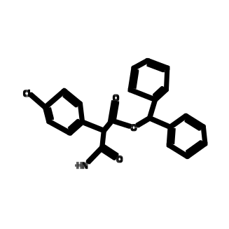 [NH]C(=O)C(C(=O)OC(c1ccccc1)c1ccccc1)c1ccc(Cl)cc1